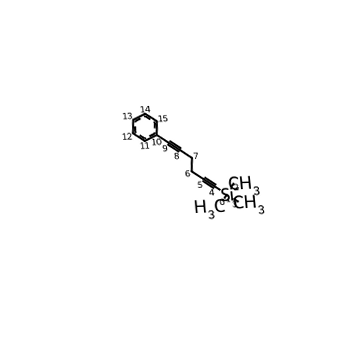 C[Si](C)(C)C#CCCC#Cc1ccccc1